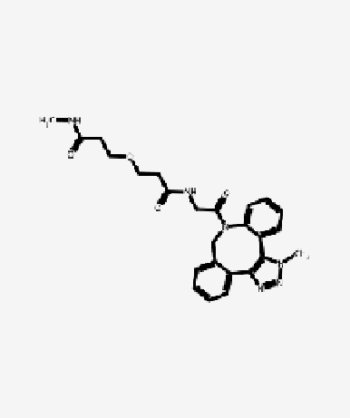 CNC(=O)CCOCCC(=O)NCC(=O)N1Cc2ccccc2-c2nnn(C)c2-c2ccccc21